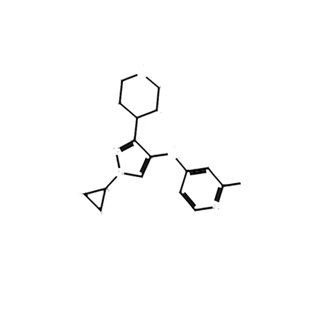 Clc1cc(Oc2cn(C3CC3)nc2C2CCOCC2)ccn1